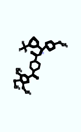 COc1ccc(/C(=C/C(=O)N2CCN(C(=O)c3cc(OC)c(OC)c(OC)c3)CC2)c2cccc(C(F)(F)F)c2)cc1